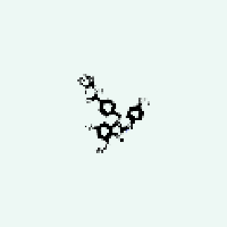 CCCOc1cc(C(F)(F)F)cc2c1n(C)/c(=N/c1ccc(C(F)(F)F)cc1)n2Cc1ccc(C(=O)Nc2nnn[nH]2)cc1